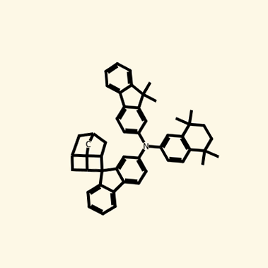 CC1(C)CCC(C)(C)c2cc(N(c3ccc4c(c3)C(C)(C)c3ccccc3-4)c3ccc4c(c3)C3(c5ccccc5-4)C4CC5CC6CC3C64C5)ccc21